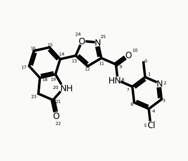 Cc1ncc(Cl)cc1NC(=O)c1cc(-c2cccc3c2NC(=O)C3)on1